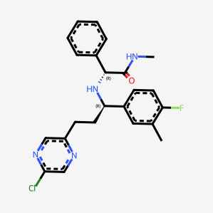 CNC(=O)[C@H](N[C@H](CCc1cnc(Cl)cn1)c1ccc(F)c(C)c1)c1ccccc1